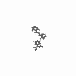 C=CNc1cc(C)nc2c(OCc3c(Cl)cncc3CNC(=O)c3c(C)cccc3C)cccc12